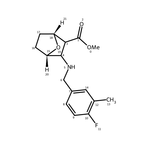 COC(=O)C1C(NCc2ccc(F)c(C)c2)[C@@H]2CC[C@H]1O2